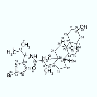 CC(C)C(NC(=O)C[C@@H](C)C1CC[C@H]2C3CCC4C[C@H](O)CCC4(C)[C@H]3CCC12C)c1ccc(Br)s1